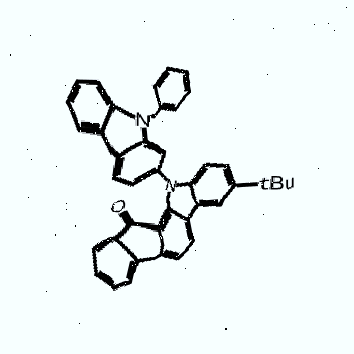 CC(C)(C)c1ccc2c(c1)c1ccc3c(c1n2-c1ccc2c4ccccc4n(-c4ccccc4)c2c1)C(=O)c1ccccc1-3